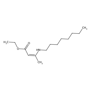 CCCCCCCCN/C(C)=C\C(=O)OCC